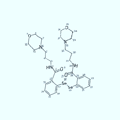 O=C(NCCCN1CCOCC1)c1ccccc1[Se][Se]c1ccccc1C(=O)NCCCN1CCOCC1